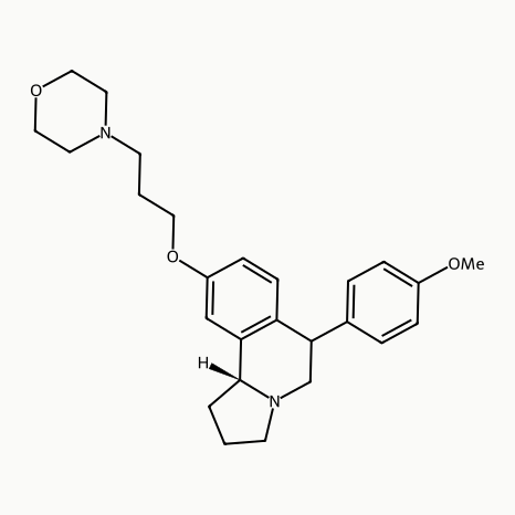 COc1ccc(C2CN3CCC[C@@H]3c3cc(OCCCN4CCOCC4)ccc32)cc1